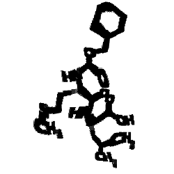 CSCC[C@H](NC(=O)OCc1ccccc1)C(=O)N[C@@H](CC(C)C)C(=O)O